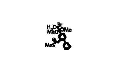 COC(OC)(c1ccc(-c2ccccc2)c(CC(=O)SC)c1)C(C)Br